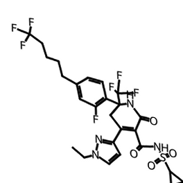 CCn1ccc(C2=C(C(=O)NS(=O)(=O)C3CC3)C(=O)NC(c3ccc(CCCCC(F)(F)F)cc3F)(C(F)(F)F)C2)n1